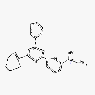 CCC/C(=C\N)c1cccc(-c2cc(-c3ccccc3)cc(C3=CCCCC3)n2)n1